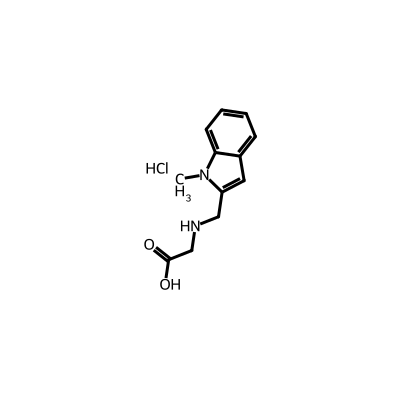 Cl.Cn1c(CNCC(=O)O)cc2ccccc21